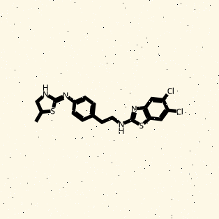 CC1CN/C(=N/c2ccc(CCNc3nc4cc(Cl)c(Cl)cc4s3)cc2)S1